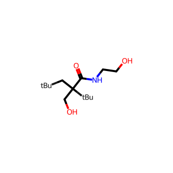 CC(C)(C)CC(CO)(C(=O)NCCO)C(C)(C)C